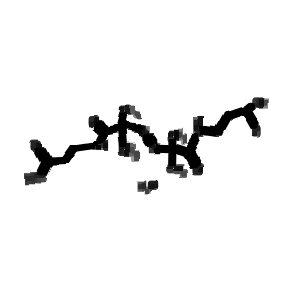 CC(C)(N=NC(C)(C)C(=O)NCCC(=O)O)C(=O)NCCC(=O)O.O